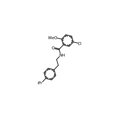 COc1ccc(Cl)cc1C(=O)NCCc1ccc(C(C)C)cc1